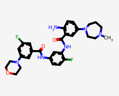 CN1CCCN(c2ccc(N)c(C(=O)Nc3cc(NC(=O)c4cc(F)cc(N5CCOCC5)c4)ccc3F)c2)CC1